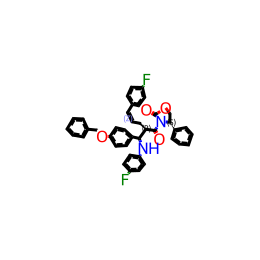 O=C1OC[C@H](c2ccccc2)N1C(=O)[C@H](C/C=C\c1ccc(F)cc1)C(Nc1ccc(F)cc1)c1ccc(OCc2ccccc2)cc1